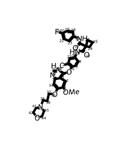 COc1cc2c(Oc3ccc(NC(=O)C4(C(=O)Nc5ccc(F)cc5)CCC4)cc3C)ncnc2cc1OCCCN1CCOCC1